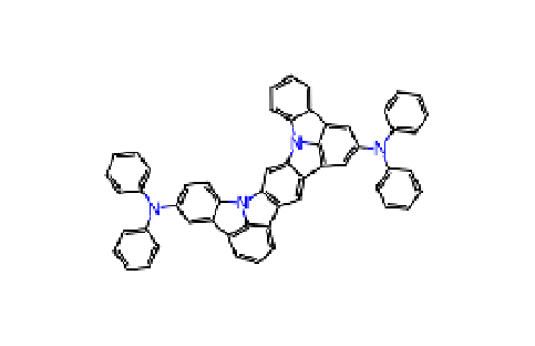 c1ccc(N(c2ccccc2)c2ccc3c(c2)c2cccc4c5cc6c7cc(N(c8ccccc8)c8ccccc8)cc8c9ccccc9n(c6cc5n3c24)c87)cc1